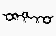 CCC1C(CCC(=O)Cc2cccc(C)c2)=CC=C1c1cc2cc(C)ccc2o1